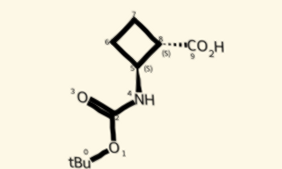 CC(C)(C)OC(=O)N[C@H]1CC[C@@H]1C(=O)O